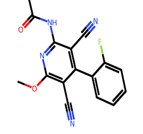 COc1nc(NC(C)=O)c(C#N)c(-c2ccccc2F)c1C#N